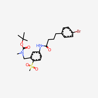 CN(Cc1cc(NC(=O)CCCc2ccc(Br)cc2)ccc1S(C)(=O)=O)C(=O)OC(C)(C)C